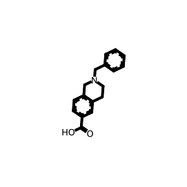 O=C(O)c1ccc2c(c1)CCN(Cc1ccccc1)C2